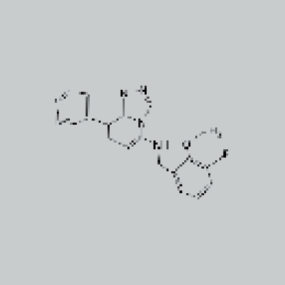 COc1c(F)cccc1CNc1ccc(-c2cccnc2)c2nncn12